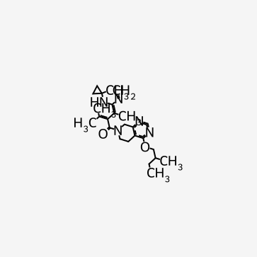 C=N/C(NC1(C)CC1)=C(\C)C(C(=O)N1CCc2c(ncnc2OCC(C)CC)C1)=C(C)C